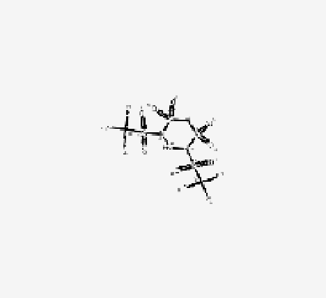 O=S1(=O)CS(=O)(=O)N(S(=O)(=O)C(F)(F)F)NN1S(=O)(=O)C(F)(F)F